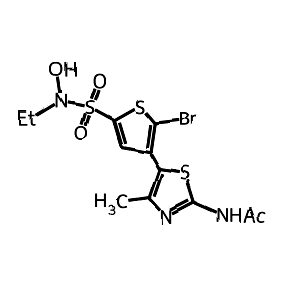 CCN(O)S(=O)(=O)c1cc(-c2sc(NC(C)=O)nc2C)c(Br)s1